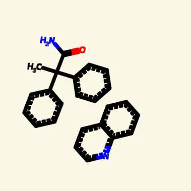 CC(C(N)=O)(c1ccccc1)c1ccccc1.c1ccc2ncccc2c1